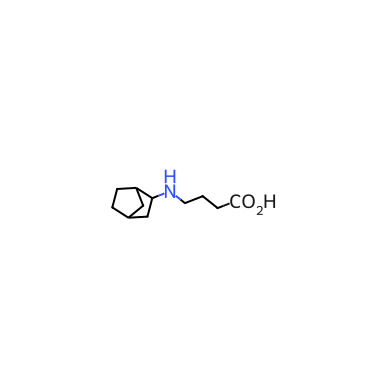 O=C(O)CCCNC1CC2CCC1C2